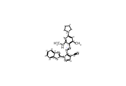 CNc1nc(N2CCCC2)cc(C)c1/N=N/c1c(C#N)cnn1-c1nc2ccccc2s1